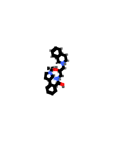 CN1CCC(c2ccccc2C(=O)NCC(O)CN2CCc3ccccc3C2)C1